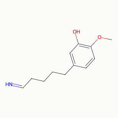 COc1ccc(CCCCC=N)cc1O